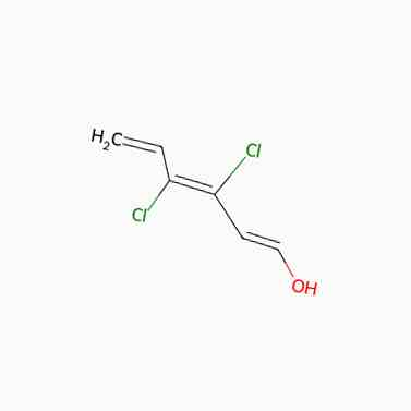 C=CC(Cl)=C(Cl)C=CO